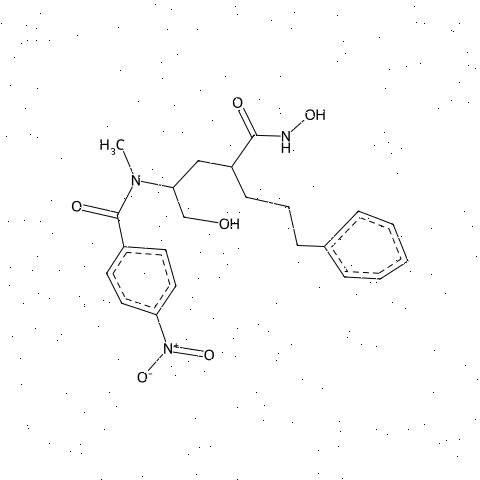 CN(C(=O)c1ccc([N+](=O)[O-])cc1)C(CO)CC(CCCc1ccccc1)C(=O)NO